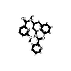 COc1cccc(C(=O)N(C)C(CCNC(=O)c2ccccn2)Cc2ccccc2)n1